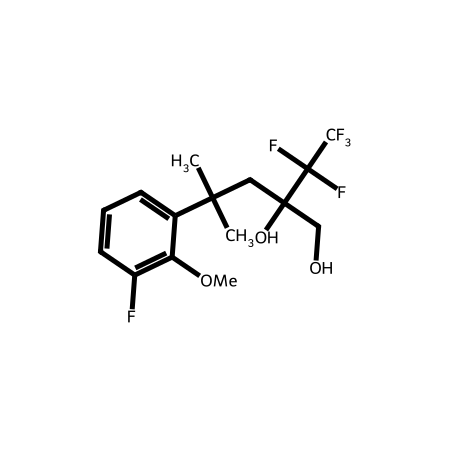 COc1c(F)cccc1C(C)(C)CC(O)(CO)C(F)(F)C(F)(F)F